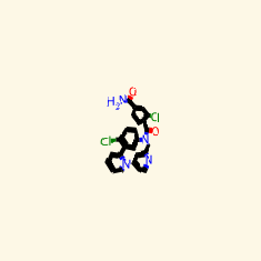 NC(=O)c1ccc(C(=O)N(Cc2ccccn2)c2ccc(Cl)c(-c3ccccn3)c2)c(Cl)c1